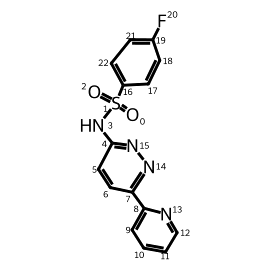 O=S(=O)(Nc1ccc(-c2ccccn2)nn1)c1ccc(F)cc1